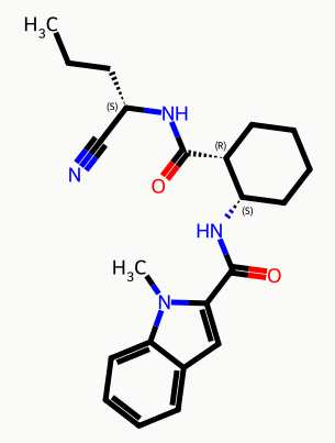 CCC[C@@H](C#N)NC(=O)[C@@H]1CCCC[C@@H]1NC(=O)c1cc2ccccc2n1C